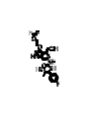 C[C@@H](O)[C@@H](NC(=O)Nc1cc2[nH]nc(OCCOC(F)F)c2c(CO)n1)c1ccc(F)cc1